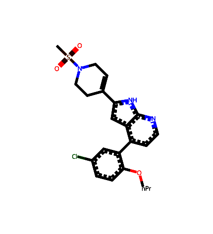 CCCOc1ccc(Cl)cc1-c1ccnc2[nH]c(C3=CCN(S(C)(=O)=O)CC3)cc12